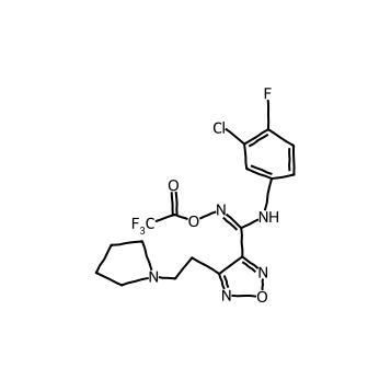 O=C(ON=C(Nc1ccc(F)c(Cl)c1)c1nonc1CCN1CCCC1)C(F)(F)F